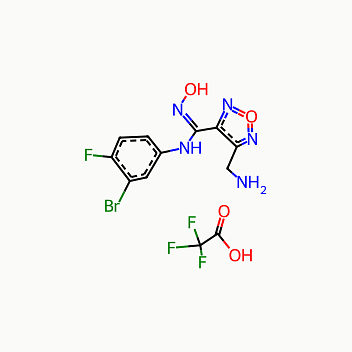 NCc1nonc1/C(=N\O)Nc1ccc(F)c(Br)c1.O=C(O)C(F)(F)F